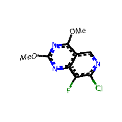 COc1nc(OC)c2cnc(Cl)c(F)c2n1